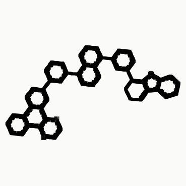 C1=c2c(oc3ccccc23)=C(c2cccc(-c3cccc4c(-c5cccc(-c6ccc7c8ccccc8c8nccnc8c7c6)c5)cccc34)c2)CC1